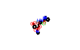 Cn1nc(C(=O)Nc2cc(F)c(CC(=O)COC(O[C@H]3CC[C@H](C(=O)O)CC3)N3CCCC3)cc2Cl)c2ccccc21